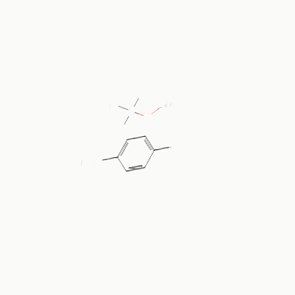 CCCCO[Si](CC)(CC)CC.Cc1ccc(S(=O)(=O)O)cc1